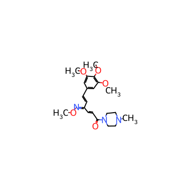 CO/N=C(\C=C\C(=O)N1CCN(C)CC1)/C=C/c1cc(OC)c(OC)c(OC)c1